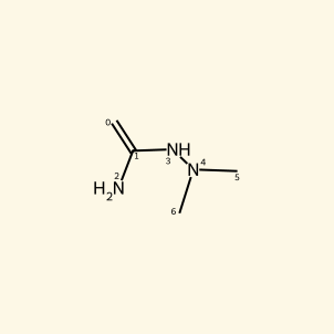 C=C(N)NN(C)C